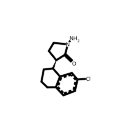 NN1CC[C@H](C2CCCc3ccc(Cl)cc32)C1=O